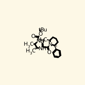 CC(NC(=O)OC(C)(C)C)[C@H](C)NC(=O)C(=O)N1[C@@H](C)CCC[C@H]1c1ccccc1